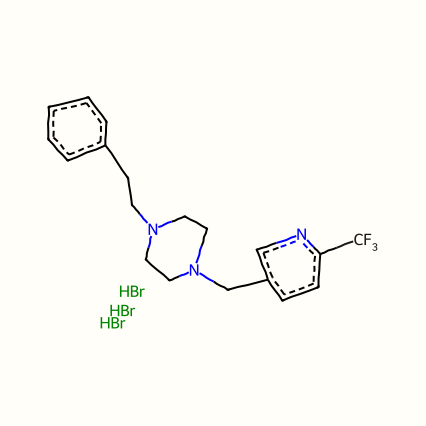 Br.Br.Br.FC(F)(F)c1ccc(CN2CCN(CCc3ccccc3)CC2)cn1